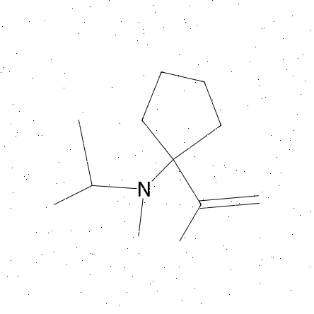 C=C(C)C1(N(C)C(C)C)CCCC1